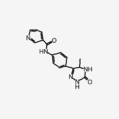 CC1NC(=O)NN=C1c1ccc(NC(=O)c2cccnc2)cc1